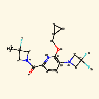 CC1(F)CN(C(=O)c2ccc(N3CC(F)(F)C3)c(OCC3CC3)n2)C1